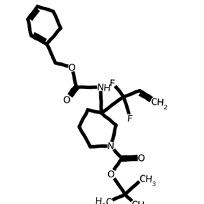 C=CC(F)(F)C1(NC(=O)OCC2=CC=CCC2)CCCN(C(=O)OC(C)(C)C)C1